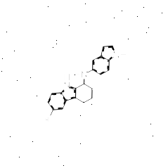 Brc1ccc2[nH]c3c(c2c1)CCCC3Nc1ccc2[nH]ccc2c1